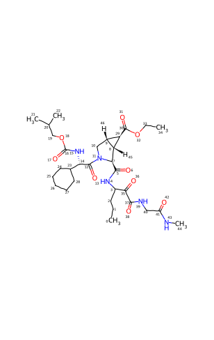 CCCC(NC(=O)[C@@H]1[C@@H]2[C@H](CN1C(=O)[C@@H](NC(=O)OCC(C)C)C1CCCCC1)[C@H]2C(=O)OCC)C(=O)C(=O)NCC(=O)NC